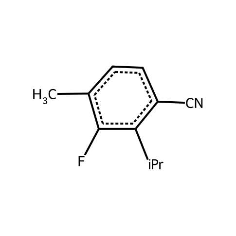 Cc1ccc(C#N)c(C(C)C)c1F